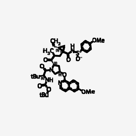 C=C[C@@H]1C[C@]1(CC(C)C(=O)[C@@H]1C[C@@H](Oc2nccc3cc(OC)ccc23)CN1C(=O)[C@@H](NC(=O)OC(C)(C)C)C(C)(C)C)C(=O)N[S+]([O-])c1ccc(OC)cc1